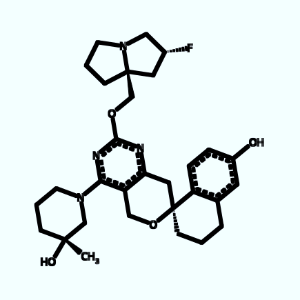 C[C@@]1(O)CCCN(c2nc(OC[C@@]34CCCN3C[C@H](F)C4)nc3c2CO[C@@]2(CCCc4cc(O)ccc42)C3)C1